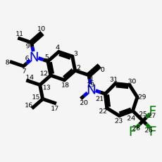 C=C(c1ccc(N(CC)C(=C)C)c(C(C)C(C)C)c1)N(C)C1=CC=C(C(F)(F)F)CC=C1